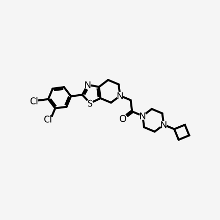 O=C(CN1CCc2nc(-c3ccc(Cl)c(Cl)c3)sc2C1)N1CCN(C2CCC2)CC1